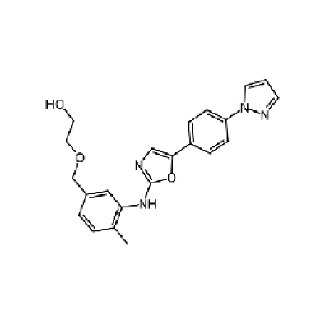 Cc1ccc(COCCO)cc1Nc1ncc(-c2ccc(-n3cccn3)cc2)o1